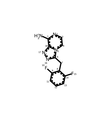 Nc1nccn2c(Cc3c(F)cccc3F)nnc12